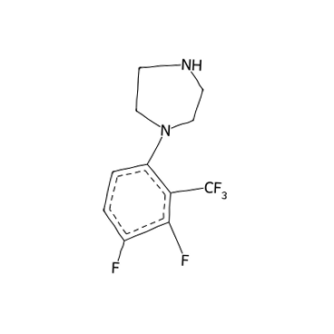 Fc1ccc(N2CCNCC2)c(C(F)(F)F)c1F